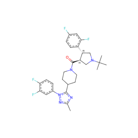 Cc1nc(C2CCN(C(=O)[C@@H]3CN(C(C)(C)C)C[C@H]3c3ccc(F)cc3F)CC2)n(-c2ccc(F)c(F)c2)n1